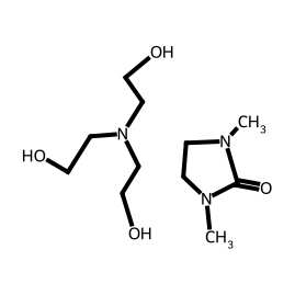 CN1CCN(C)C1=O.OCCN(CCO)CCO